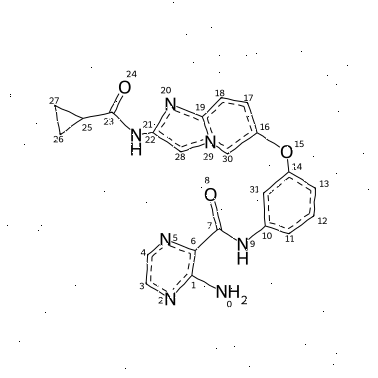 Nc1nccnc1C(=O)Nc1cccc(Oc2ccc3nc(NC(=O)C4CC4)cn3c2)c1